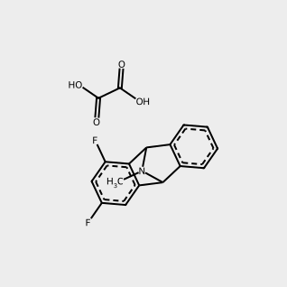 CN1C2c3ccccc3C1c1c(F)cc(F)cc12.O=C(O)C(=O)O